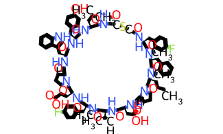 CCCC[C@H]1C(=O)N2CCC[C@@H]2C(=O)N[C@@H](CC(=O)O)C(=O)N[C@@H](C(C)C)C(=O)N(C)[C@@H](Cc2ccc(F)cc2)C(=O)N[C@@H](CCC(=O)O)C(=O)N2CCC[C@@H]2C(=O)N[C@@H](Cc2c[nH]c3ccccc23)C(=O)N[C@@H](Cc2ccc(O)cc2)C(=O)N[C@@H](CC(C)C)C(=O)N[C@H](C=O)CSCC(=O)N[C@@H](Cc2ccc(F)cc2)C(=O)N(C)[C@@H](Cc2ccccc2)C(=O)N1C